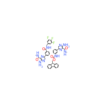 CNC(=O)c1nc(-c2cccc(C(=O)NCc3cc(F)c(F)c(F)c3)c2)cnc1N.CNC(=O)c1nc(-c2cccc(NC(=O)OCC3c4ccccc4-c4ccccc43)c2)cnc1N